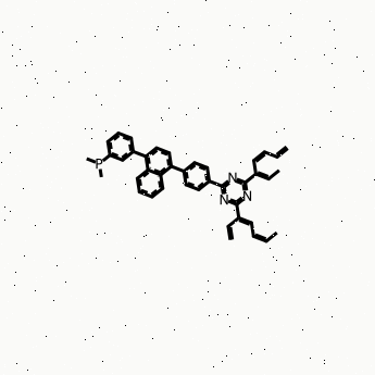 C=C/C=C\C(=C/C)c1nc(/C(C=C)=C/C=C\C)nc(-c2ccc(-c3ccc(-c4cccc(P(C)C)c4)c4ccccc34)cc2)n1